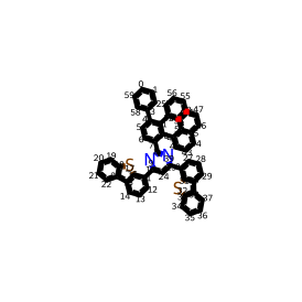 c1ccc(-c2ccc(-c3nc(-c4cccc5c4sc4ccccc45)cc(-c4cccc5c4sc4ccccc45)n3)c(-c3cccc4ccccc34)c2-c2ccccc2)cc1